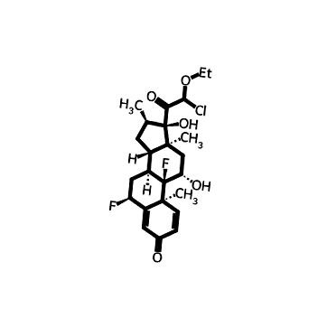 CCOC(Cl)C(=O)[C@@]1(O)[C@H](C)C[C@H]2[C@@H]3C[C@H](F)C4=CC(=O)C=C[C@]4(C)[C@@]3(F)[C@@H](O)C[C@@]21C